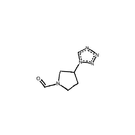 O=CN1CCC(n2cnnn2)C1